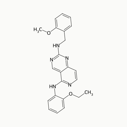 CCOc1ccccc1Nc1nccc2nc(NCc3ccccc3OC)ncc12